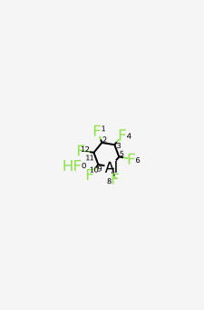 F.FC1C(F)[CH](F)[Al]([F])[CH](F)C1F